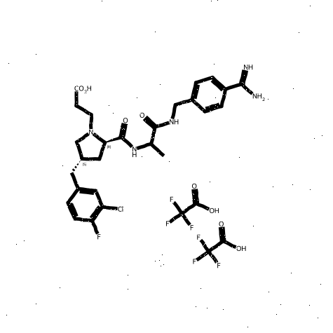 CC(NC(=O)[C@H]1C[C@H](Cc2ccc(F)c(Cl)c2)CN1CCC(=O)O)C(=O)NCc1ccc(C(=N)N)cc1.O=C(O)C(F)(F)F.O=C(O)C(F)(F)F